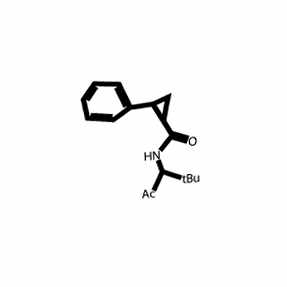 CC(=O)C(NC(=O)C1CC1c1ccccc1)C(C)(C)C